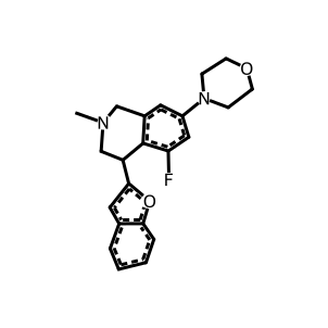 CN1Cc2cc(N3CCOCC3)cc(F)c2C(c2cc3ccccc3o2)C1